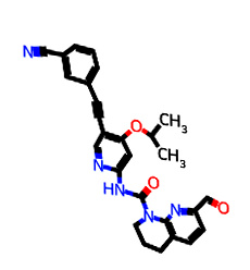 CC(C)Oc1cc(NC(=O)N2CCCc3ccc(C=O)nc32)ncc1C#Cc1cccc(C#N)c1